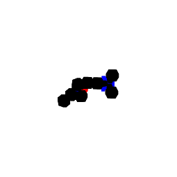 c1ccc(-c2ccc3c(c2)c2ccccc2n3-c2cccc3c2oc2cc(-c4ccc(-c5nc(-c6ccccc6)nc(-c6ccccc6)n5)cc4)ccc23)cc1